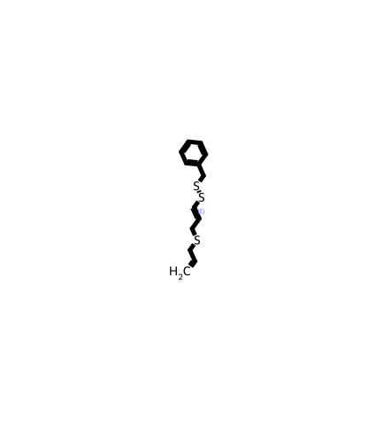 C=CCSC/C=C/SSCc1ccccc1